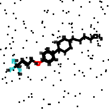 CCCCCC1CCC(c2ccc(OC/C=C/C(F)(F)F)cc2)CC1